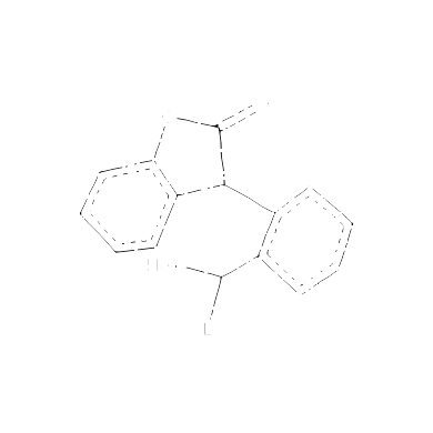 CCCCCCC(CC)c1ccccc1C1C(=O)Oc2ccccc21